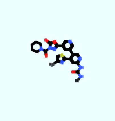 CCNC(=O)Nc1cc(-c2nc(C(F)(F)F)cs2)c(-c2cncc(-c3nn(C(=O)N4CCCCC4)c(=O)o3)c2)cn1